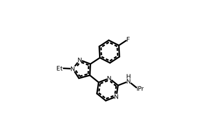 CCn1cc(-c2ccnc(NC(C)C)n2)c(-c2ccc(F)cc2)n1